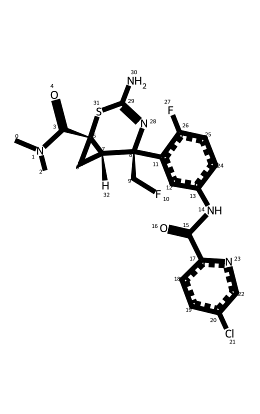 CN(C)C(=O)[C@]12C[C@H]1[C@@](CF)(c1cc(NC(=O)c3ccc(Cl)cn3)ccc1F)N=C(N)S2